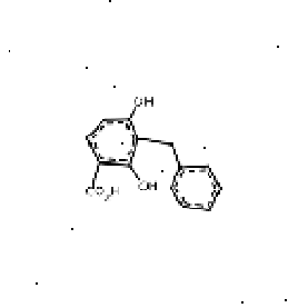 O=C(O)c1ccc(O)c(Cc2ccccc2)c1O